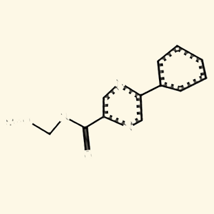 COCNC(=O)c1cnc(-c2ccccc2)cn1